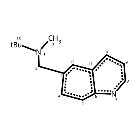 CN(Cc1ccc2ncccc2c1)C(C)(C)C